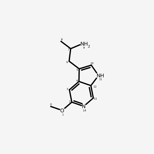 COc1cc2c(CC(C)N)c[nH]c2cn1